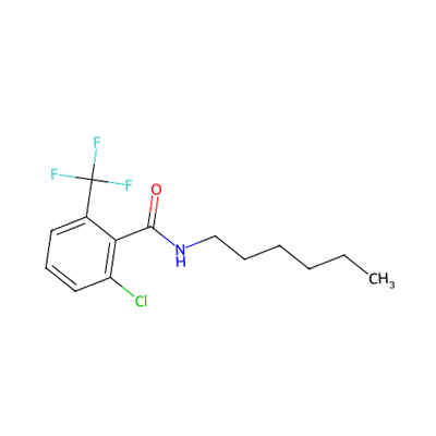 CCCCCCNC(=O)c1c(Cl)cccc1C(F)(F)F